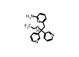 Nc1cccc(CC(NCC(F)(F)F)(c2cccnc2)c2cccnc2)n1